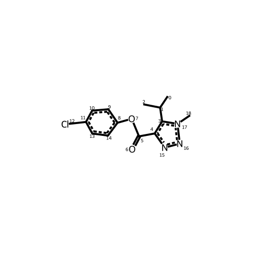 CC(C)c1c(C(=O)Oc2ccc(Cl)cc2)nnn1C